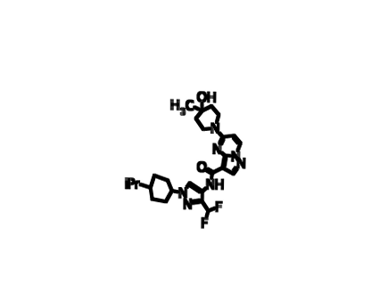 CC(C)C1CCC(n2cc(NC(=O)c3cnn4ccc(N5CCC(C)(O)CC5)nc34)c(C(F)F)n2)CC1